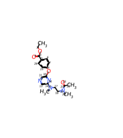 CCOC(=O)c1ccc(Oc2cncc(N(C)CCN(C)C(C)=O)n2)cc1